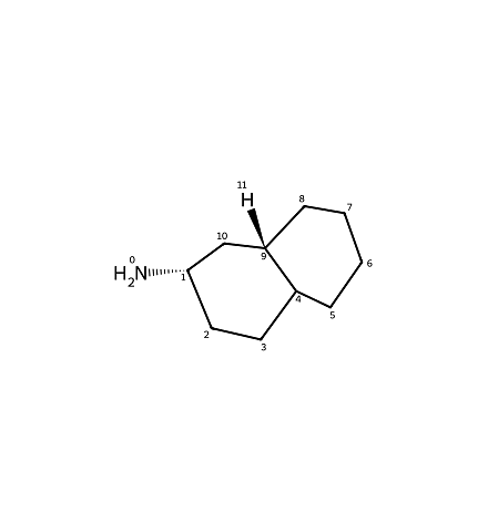 N[C@H]1CCC2CCCC[C@H]2C1